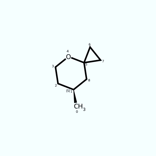 C[C@H]1CCOC2(CC2)C1